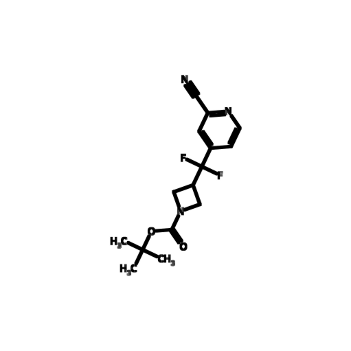 CC(C)(C)OC(=O)N1CC(C(F)(F)c2ccnc(C#N)c2)C1